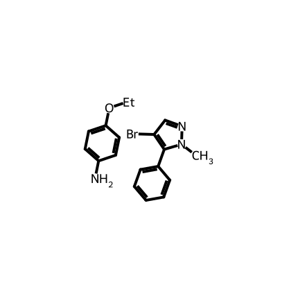 CCOc1ccc(N)cc1.Cn1ncc(Br)c1-c1ccccc1